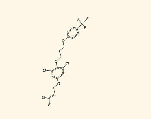 FC(Cl)=CCOc1cc(Cl)c(OCCCOc2ccc(C(F)(F)F)cc2)c(Cl)c1